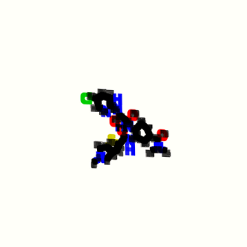 CN1Cc2cc(C(=O)N[C@@H]3C[C@@H](C(=O)N(C)C)CC[C@@H]3NC(=O)C(=O)Nc3ccc(Cl)cn3)sc2C1